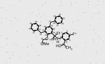 CCCC(CC)(Pc1ccc(F)cc1C(C)O)c1cc(Cc2ccccc2)cc(Cc2ccccc2)c1OCOC